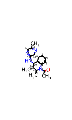 CC(=O)N1c2ccccc2[C@H](Nc2cnc(C)cn2)[C@@H](C)[C@@H]1C